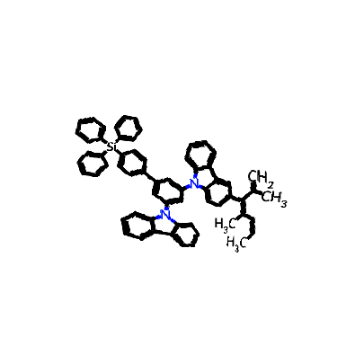 C=C(C)/C(=C(C)\C=C/C)c1ccc2c(c1)c1ccccc1n2-c1cc(-c2ccc([Si](c3ccccc3)(c3ccccc3)c3ccccc3)cc2)cc(-n2c3ccccc3c3ccccc32)c1